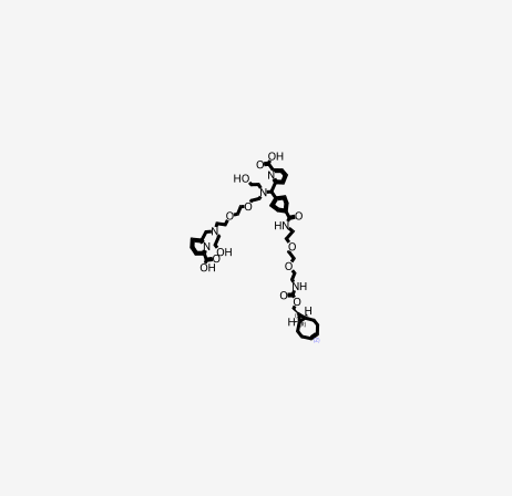 O=C(NCCOCCOCCNC(=O)c1ccc(C(c2cccc(C(=O)O)n2)N(CCO)CCOCCOCCN(CCO)Cc2cccc(C(=O)O)n2)cc1)OC[C@@H]1[C@@H]2CC/C=C\CC[C@@H]21